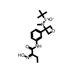 CC/C(=N/O)C(=O)Nc1cccc(C2(N(C)[S+]([O-])C(C)(C)C)COC2)c1